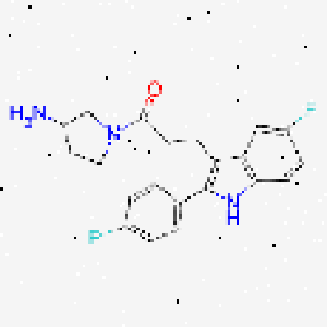 NC1CCN(C(=O)CCc2c(-c3ccc(F)cc3)[nH]c3ccc(F)cc23)C1